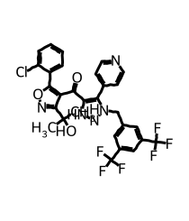 CC(C)(O)c1noc(-c2ccccc2Cl)c1C(=O)C1=C(c2ccncc2)N(Cc2cc(C(F)(F)F)cc(C(F)(F)F)c2)NN1